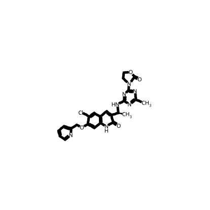 Cc1nc(N[C@@H](C)c2cc3cc(Cl)c(OCc4ccccn4)cc3[nH]c2=O)nc(N2CCOC2=O)n1